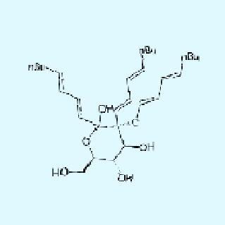 CCCCC=CC=CO[C@]1(C=CC=CCCCC)[C@@H](O)[C@H](O)[C@@H](CO)OC1(O)C=CC=CCCCC